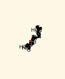 CN(CCCn1nnc2cc(CNC[C@@H](O[Si](C)(C)C(C)(C)C)c3ccc(O)c4[nH]c(=O)ccc34)ccc21)C1CCC(OC(=O)C(O)(c2cccs2)c2cccs2)CC1